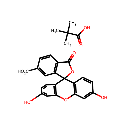 CC(C)(C)C(=O)O.O=C(O)c1ccc2c(c1)C1(OC2=O)c2ccc(O)cc2Oc2cc(O)ccc21